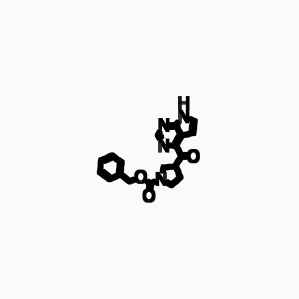 O=C(c1ncnc2[nH]ccc12)C1CCN(C(=O)OCc2ccccc2)C1